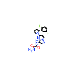 NC(=O)C(=O)NC1C=NN2C=CC(N3CCC[C@@H]3c3cc(F)ccc3F)=NC12